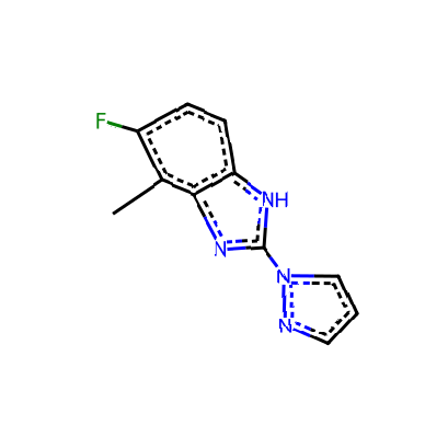 Cc1c(F)ccc2[nH]c(-n3cccn3)nc12